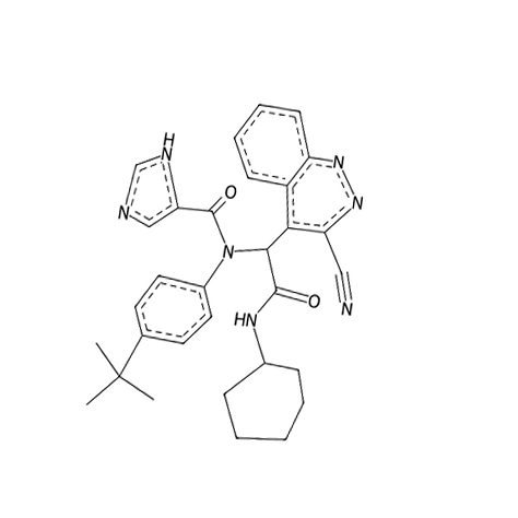 CC(C)(C)c1ccc(N(C(=O)c2cnc[nH]2)C(C(=O)NC2CCCCC2)c2c(C#N)nnc3ccccc23)cc1